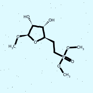 CO[C@@H]1O[C@H](CCP(=O)(OC)OC)[C@@H](O)[C@H]1O